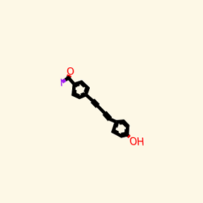 O=C(I)c1ccc(C#CC#Cc2ccc(O)cc2)cc1